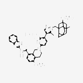 COc1ccc(C(=O)Nc2nc3ccccc3s2)c2c1CCN(c1ccc(-c3cnn(CC45CC6(C)CC(OC)(CC7(CC74)C6)C5)c3C)c(C(=O)O)n1)C2